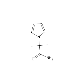 CC(C)(C(N)=O)n1cccc1